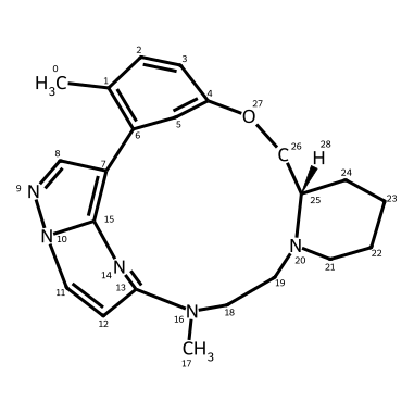 Cc1ccc2cc1-c1cnn3ccc(nc13)N(C)CCN1CCCC[C@H]1CO2